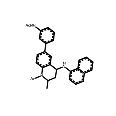 CC(=O)Nc1cccc(-c2ccc3c(c2)C(Nc2cccc4ccccc24)CC(C)N3C(C)=O)c1